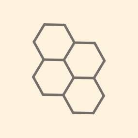 C1CC2CCC3CCCC4CCC(C1)C2C34